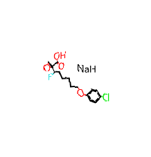 O=C(O)C1(C(F)CCCCCOc2ccc(Cl)cc2)CO1.[NaH]